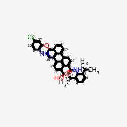 CC(C)c1cccc(C(C)C)c1NC(=O)c1ccc2c3cccc4c(Oc5cc(Cl)ccc5N)ccc(c5ccc(C(=O)O)c1c52)c43